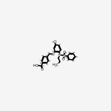 CCCN(c1ccc(Cl)cc1OCc1ccc(C(=O)O)cc1)S(=O)(=O)c1ccccc1